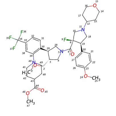 COC[C@H]1CN(C(=O)[C@]2(F)CN(C3CCOCC3)C[C@H]2c2ccc(OC)cc2)C[C@@H]1c1ccc(C(F)(F)F)cc1N1CCC(C(=O)OC)CC1